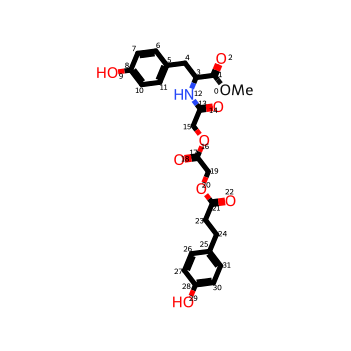 COC(=O)C(Cc1ccc(O)cc1)NC(=O)COC(=O)COC(=O)CCc1ccc(O)cc1